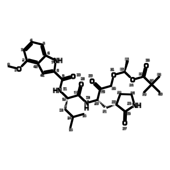 COc1cccc2[nH]c(C(=O)N[C@@H](CC(C)C)C(=O)N[C@@H](C[C@@H]3CCNC3=O)C(=O)CO[C@@H](C)OC(=O)C(C)(C)C)cc12